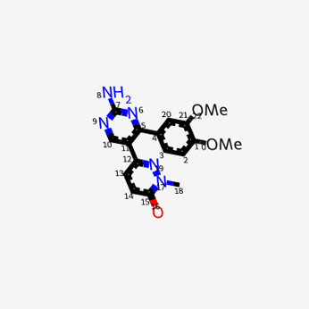 COc1ccc(-c2nc(N)ncc2-c2ccc(=O)n(C)n2)cc1OC